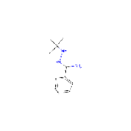 CC(C)(C)NNC(N)c1ccccc1